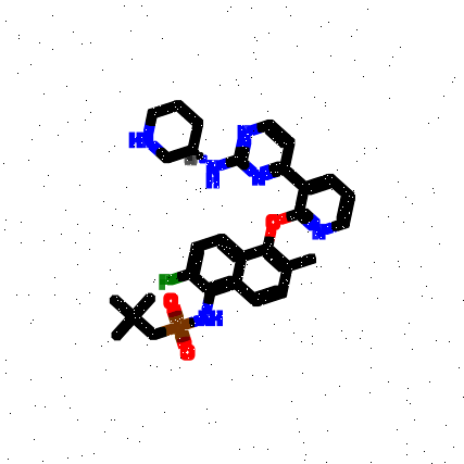 Cc1ccc2c(NS(=O)(=O)CC(C)(C)C)c(F)ccc2c1Oc1ncccc1-c1ccnc(N[C@H]2CCCNC2)n1